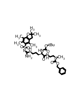 Cc1c(C)c(S(=O)(=O)/N=C(/N)NCCC[C@@H](NC(=O)OC(C)(C)C)C(=O)NCCN(C)C(=O)OCc2ccccc2)c(C)c2c1OC(C)(C)C2